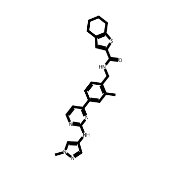 Cc1cc(-c2ccnc(Nc3cnn(C)c3)n2)ccc1CNC(=O)c1cc2c(s1)CCCC2